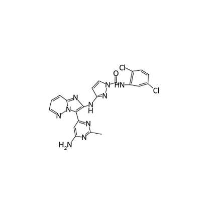 Cc1nc(N)cc(-c2c(Nc3ccn(C(=O)Nc4cc(Cl)ccc4Cl)n3)nc3cccnn23)n1